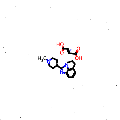 CN1CCC(c2nc3cccc4c3n2CCC4)CC1.O=C(O)/C=C/C(=O)O